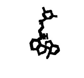 Cc1cc(C)cc(SCCNc2cccc3c2[C@]2(CCc4cccc(C)c42)CC3)c1